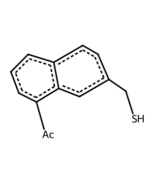 CC(=O)c1cccc2ccc(CS)cc12